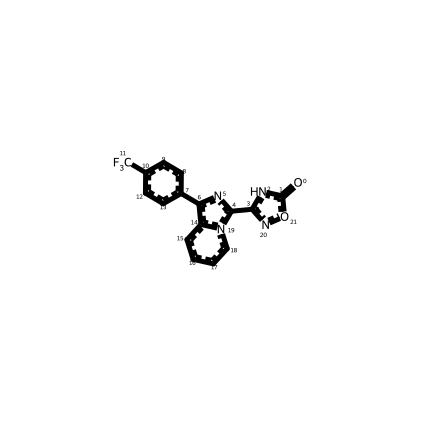 O=c1[nH]c(-c2nc(-c3ccc(C(F)(F)F)cc3)c3ccccn23)no1